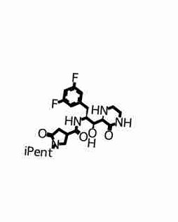 CCCC(C)N1CC(C(=O)N[C@@H](Cc2cc(F)cc(F)c2)[C@H](O)[C@@H]2NCCNC2=O)CC1=O